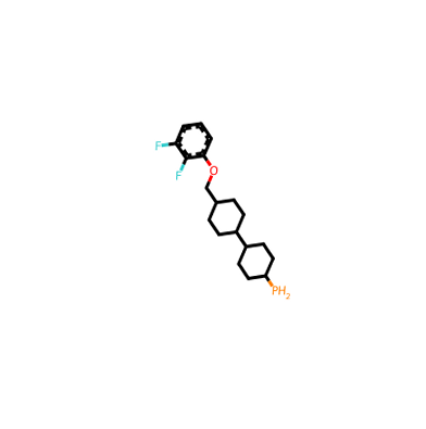 Fc1cccc(OCC2CCC(C3CCC(P)CC3)CC2)c1F